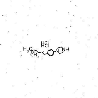 CN(C)CCCCc1ccc(N2CCNCC2)cc1.Cl.Cl